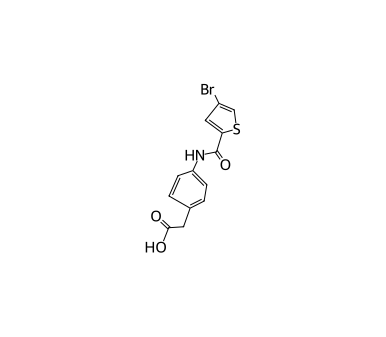 O=C(O)Cc1ccc(NC(=O)c2cc(Br)cs2)cc1